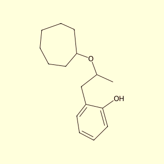 CC(Cc1ccccc1O)OC1CCCCCC1